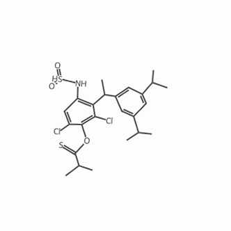 CC(C)C(=S)Oc1c(Cl)cc(N[SH](=O)=O)c(C(C)c2cc(C(C)C)cc(C(C)C)c2)c1Cl